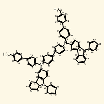 Cc1ccc(-c2ccc(N(c3ccc(-c4ccc(N(c5ccc(-c6ccc(C)cc6)cc5)c5ccc6c(c5)c5ccccc5n6-c5ccccc5)cc4)cc3)c3ccc4c(c3)C3C=CC=CC3N4c3ccccc3)cc2)cc1